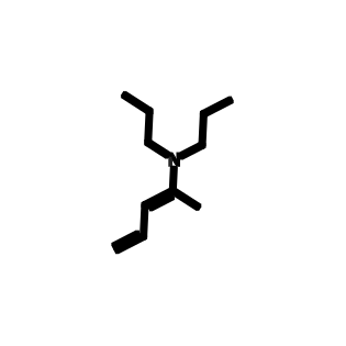 C=C/C=C(\C)N(CCC)CCC